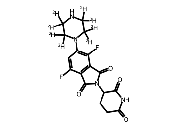 [2H]C1([2H])NC([2H])([2H])C([2H])([2H])N(c2cc(F)c3c(c2F)C(=O)N(C2CCC(=O)NC2=O)C3=O)C1([2H])[2H]